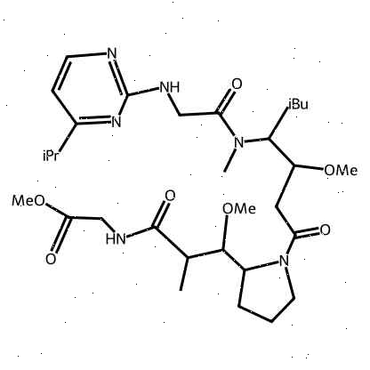 CCC(C)C(C(CC(=O)N1CCCC1C(OC)C(C)C(=O)NCC(=O)OC)OC)N(C)C(=O)CNc1nccc(C(C)C)n1